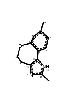 Cc1ccc2c(c1)OCCc1nc(C)[nH]c1-2